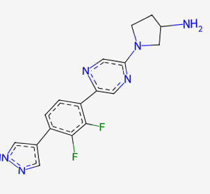 NC1CCN(c2cnc(-c3ccc(-c4cn[nH]c4)c(F)c3F)cn2)C1